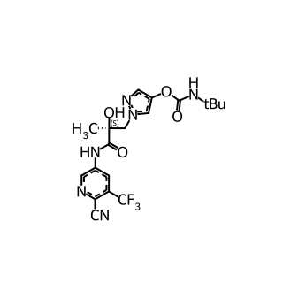 CC(C)(C)NC(=O)Oc1cnn(C[C@](C)(O)C(=O)Nc2cnc(C#N)c(C(F)(F)F)c2)c1